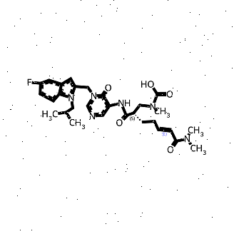 CC(C)Cn1c(Cn2cncc(NC(=O)[C@@H](CC/C=C/C(=O)N(C)C)CN(C)C(=O)O)c2=O)cc2cc(F)ccc21